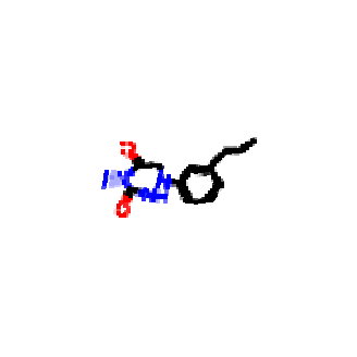 CC=Cc1cccc(N2CC(=O)NC(=O)N2)c1